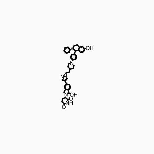 O=C1CCC(N2Cc3cc(-c4cnn(CCC5CCN(c6ccc(C7c8ccc(O)cc8CC[C@@H]7c7ccccc7)cc6)CC5)c4)ccc3C2O)C(=O)N1